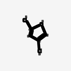 Clc1coc(Cl)c1